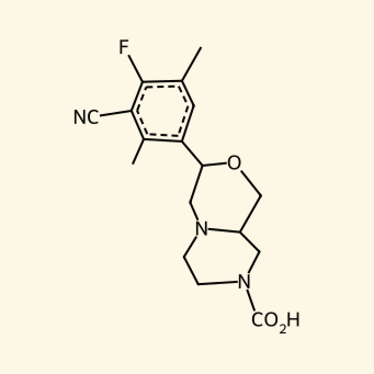 Cc1cc(C2CN3CCN(C(=O)O)CC3CO2)c(C)c(C#N)c1F